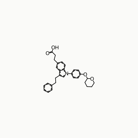 O=C(O)CCc1ccc2c(c1)c(CCc1ccccc1)cn2-c1ccc(OC2CCCCO2)cc1